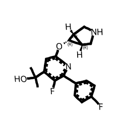 CC(C)(O)c1cc(O[C@@H]2[C@@H]3CNC[C@@H]32)nc(-c2ccc(F)cc2)c1F